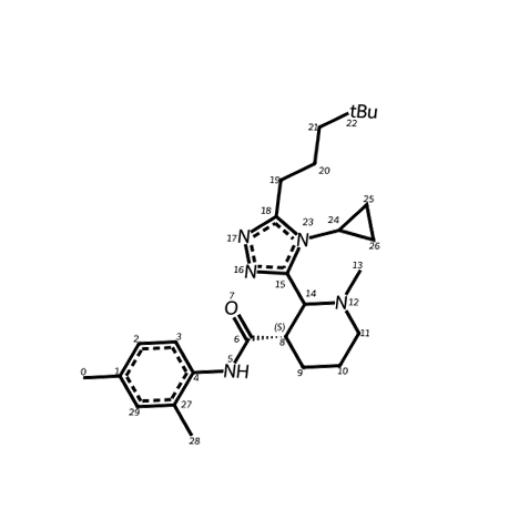 Cc1ccc(NC(=O)[C@H]2CCCN(C)C2c2nnc(CCCC(C)(C)C)n2C2CC2)c(C)c1